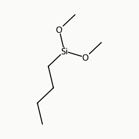 CCCC[Si](OC)OC